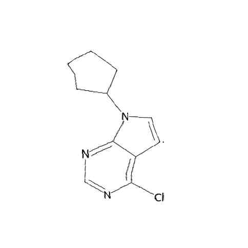 Clc1ncnc2c1[c]cn2C1CCCC1